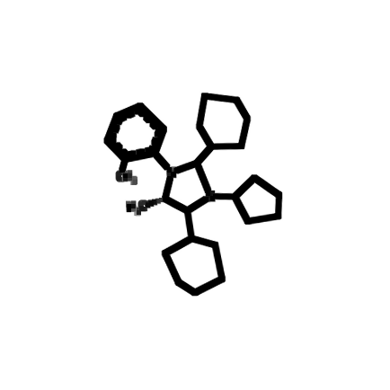 Cc1ccccc1N1C(C2CCCCC2)N(C2CCCC2)C(C2CCCCC2)[C@@H]1C